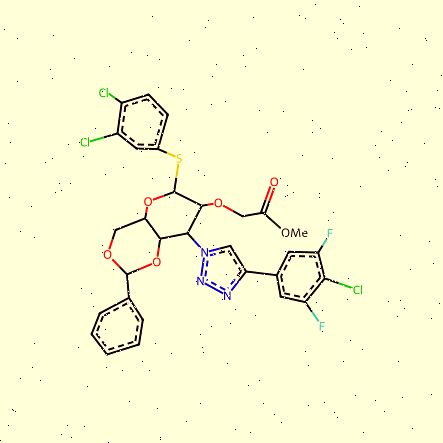 COC(=O)COC1C(Sc2ccc(Cl)c(Cl)c2)OC2COC(c3ccccc3)OC2C1n1cc(-c2cc(F)c(Cl)c(F)c2)nn1